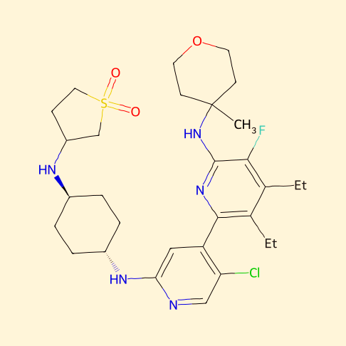 CCc1c(-c2cc(N[C@H]3CC[C@H](NC4CCS(=O)(=O)C4)CC3)ncc2Cl)nc(NC2(C)CCOCC2)c(F)c1CC